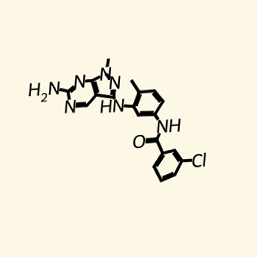 Cc1ccc(NC(=O)c2cccc(Cl)c2)cc1Nc1nn(C)c2nc(N)ncc12